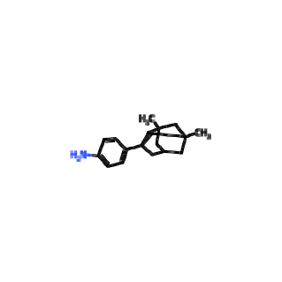 CC12CC3CC(C)(C1)CC(c1ccc(N)cc1)(C3)C2